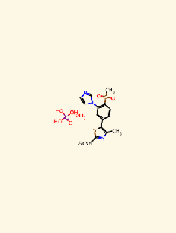 CC(=O)Nc1nc(C)c(-c2ccc(S(C)(=O)=O)c(-n3ccnc3)c2)s1.O.O=P(O)(O)O